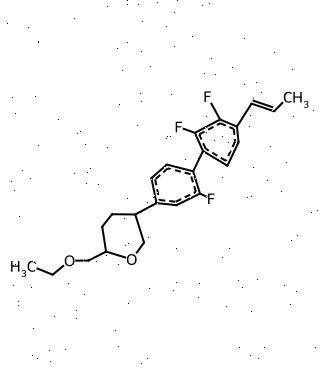 C/C=C/c1ccc(-c2ccc(C3CCC(COCC)OC3)cc2F)c(F)c1F